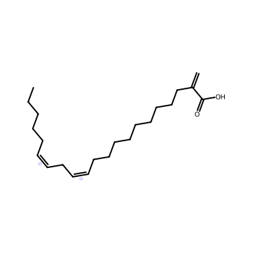 C=C(CCCCCCCCC/C=C\C/C=C\CCCCC)C(=O)O